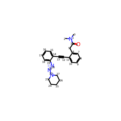 CN(C)C(=O)Cc1ccccc1C#Cc1ccccc1/N=N/N1CCCCC1